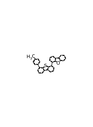 Cc1ccc(-c2cccc3c2sc2c(-c4cccc5c4oc4ccccc45)cccc23)cc1